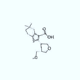 COC[C@H]1COC[C@H]1c1sc2c(c1C(=O)O)CC(C)(C)CC2